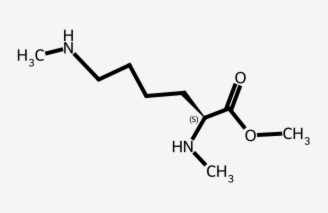 CNCCCC[C@H](NC)C(=O)OC